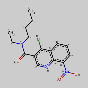 CCCCN(CC)C(=O)c1cnc2c([N+](=O)[O-])cccc2c1Cl